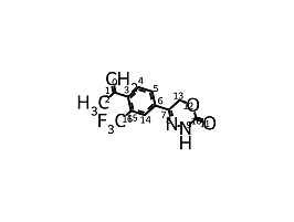 C=C(C)c1ccc(C2=NNC(=O)OC2)cc1C(F)(F)F